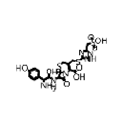 NC(C(=O)NC1C(=O)N2C(C(=O)O)=C(CSc3nc(CS(=O)(=O)O)n[nH]3)CS[C@@H]12)c1ccc(O)cc1